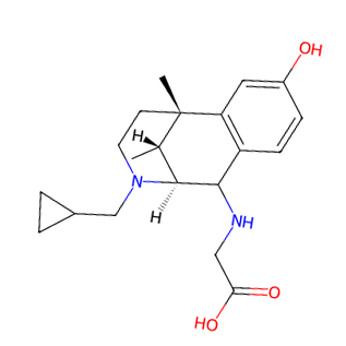 C[C@H]1[C@H]2C(NCC(=O)O)c3ccc(O)cc3[C@@]1(C)CCN2CC1CC1